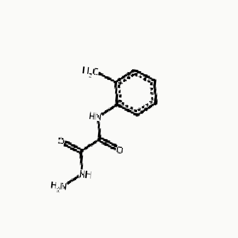 Cc1ccccc1NC(=O)C(=O)NN